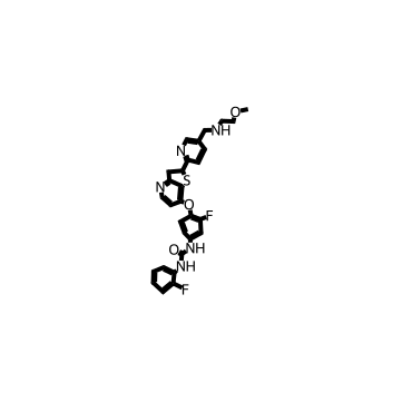 COCCNCc1ccc(C2Cc3nccc(Oc4ccc(NC(=O)Nc5ccccc5F)cc4F)c3S2)nc1